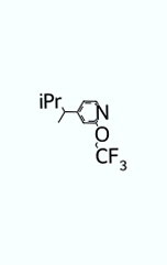 CC(C)C(C)c1ccnc(OCC(F)(F)F)c1